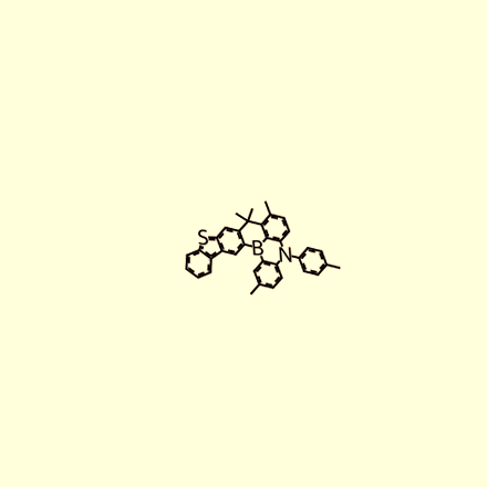 Cc1ccc(N2c3ccc(C)cc3B3c4cc5c(cc4C(C)(C)c4c(C)ccc2c43)sc2ccccc25)cc1